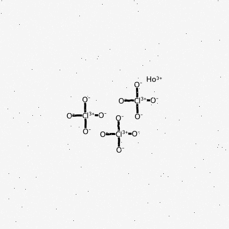 [Ho+3].[O-][Cl+3]([O-])([O-])[O-].[O-][Cl+3]([O-])([O-])[O-].[O-][Cl+3]([O-])([O-])[O-]